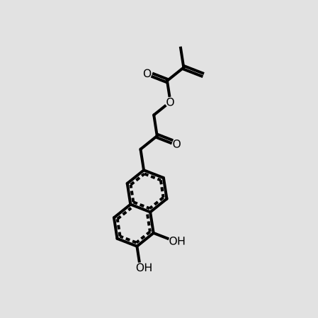 C=C(C)C(=O)OCC(=O)Cc1ccc2c(O)c(O)ccc2c1